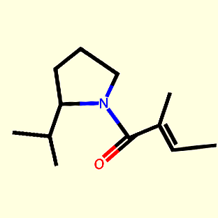 C/C=C(\C)C(=O)N1CCCC1C(C)C